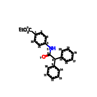 CCOC(=O)c1ccc(NC(=O)C(c2ccccc2)c2ccccc2)cc1